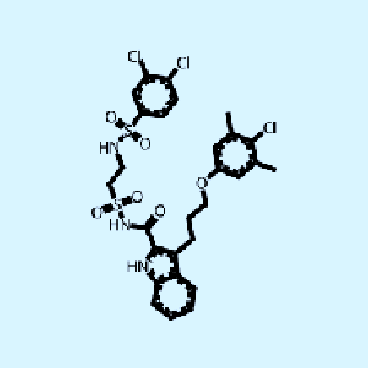 Cc1cc(OCCCc2c(C(=O)NS(=O)(=O)CCNS(=O)(=O)c3ccc(Cl)c(Cl)c3)[nH]c3ccccc23)cc(C)c1Cl